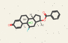 CC(=O)[C@@]1(OC(=O)c2ccccc2)CC[C@H]2[C@@H]3CCC4=CC(=O)C=C[C@]4(C)[C@@]3(Cl)C(F)C[C@@]21C